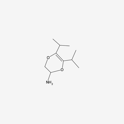 CC(C)C1=C(C(C)C)OC(N)CO1